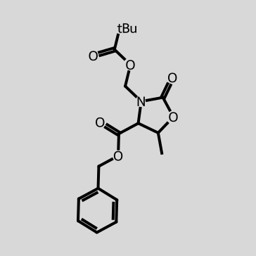 CC1OC(=O)N(COC(=O)C(C)(C)C)C1C(=O)OCc1ccccc1